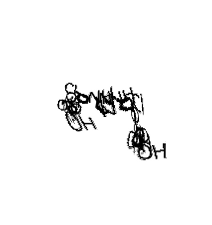 C[C@]12OC[C@H](Oc3ccc(Nc4ccnc(Nc5ccc(OC[C@H]6CO[C@H]7C6OC[C@@H]7O)c(Cl)c5)n4)cc3Cl)[C@H]1OC[C@@H]2O